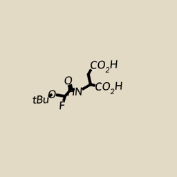 CC(C)(C)OC(F)C(=O)NC(CC(=O)O)C(=O)O